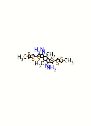 Cc1cc2sc(-c3cc4/c(=N\N)c5c(C)c6c(c(C)c5c4s3)/c(=N/N)c3cc(-c4cc5sc(C)cc5s4)sc36)cc2s1